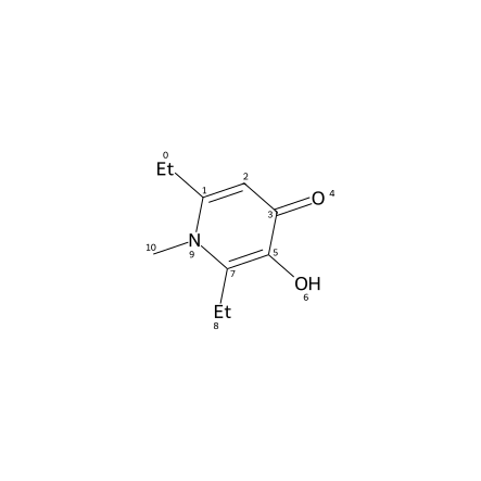 CCc1cc(=O)c(O)c(CC)n1C